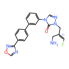 NC/C(=C\F)Cn1ncn(-c2cccc(-c3ccc(-c4ncon4)cc3)c2)c1=O